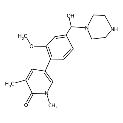 COc1cc(C(O)N2CCNCC2)ccc1-c1cc(C)c(=O)n(C)c1